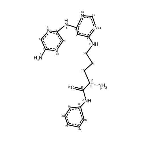 Nc1cnc(Nc2cc(NCCC[C@H](N)C(=O)Nc3ccccc3)ncn2)cn1